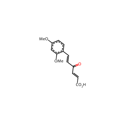 COc1ccc(C=CC(=O)C=CC(=O)O)c(OC)c1